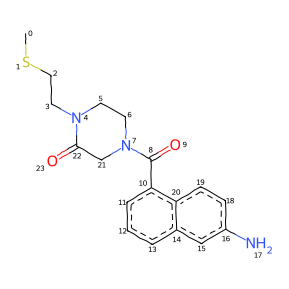 CSCCN1CCN(C(=O)c2cccc3cc(N)ccc23)CC1=O